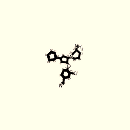 N#Cc1ccc(OC2CC(c3ccccc3)CC2N2CCCC(N)C2)c(Cl)c1